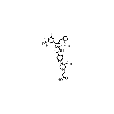 CC1CCCN1Cc1sc(NC(=O)c2cnc(N3CCN(CCC(=O)O)CC3C)cn2)nc1-c1cc(F)cc(C(F)(F)F)c1